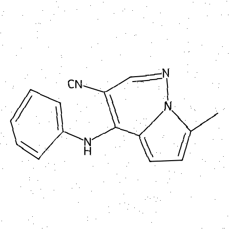 [C-]#[N+]c1cnn2c(C)ccc2c1Nc1ccccc1